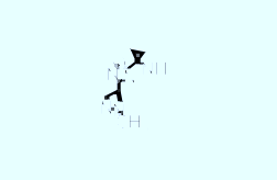 Cn1cc(-c2noc(C3(N)CC3)n2)cn1